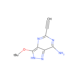 C#Cc1nc(N)c2n[nH]c(OC(C)(C)C)c2n1